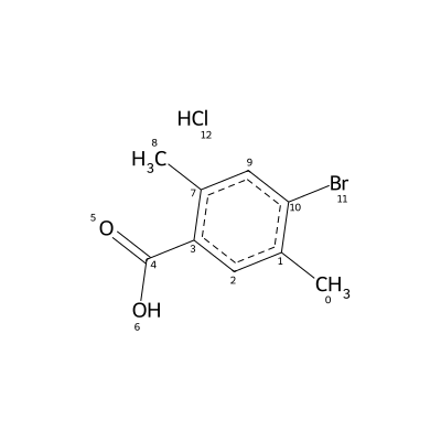 Cc1cc(C(=O)O)c(C)cc1Br.Cl